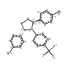 FC(F)(F)c1ccc(N2[C@H](c3ccc(Br)cc3)CC[C@H]2c2ccc(Br)cc2)cn1